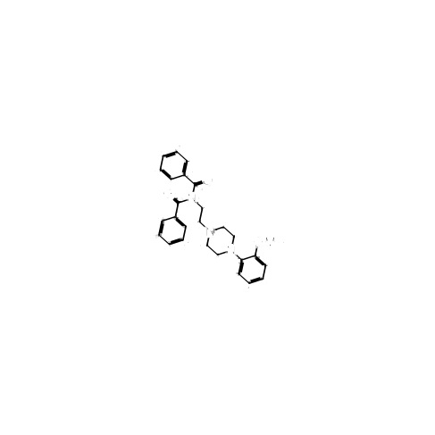 COc1ccccc1N1CCN(CCN(C(=O)c2ccccc2)C(=O)c2ccccc2)CC1